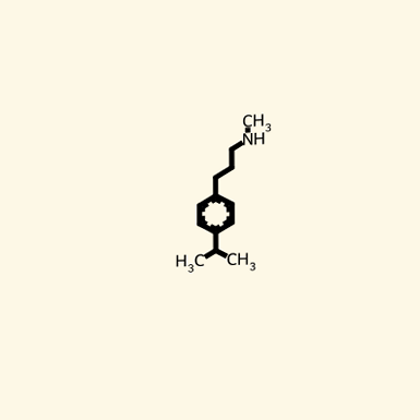 CNCCCc1ccc(C(C)C)cc1